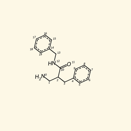 NCC(Cc1ccccc1)C(=O)NCc1ccccc1